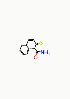 NC(=O)C1C(=S)C=Cc2ccccc21